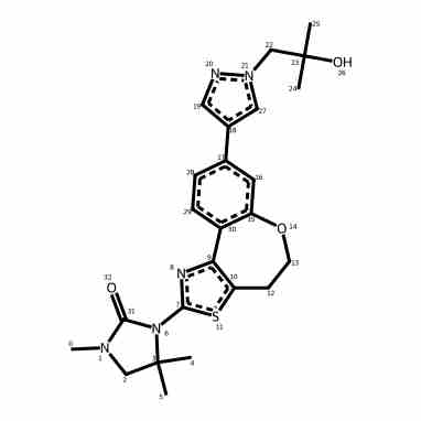 CN1CC(C)(C)N(c2nc3c(s2)CCOc2cc(-c4cnn(CC(C)(C)O)c4)ccc2-3)C1=O